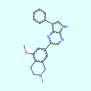 COc1cc(-c2cnc3[nH]cc(-c4cc[c]cc4)c3n2)cc2c1CCN(C)C2